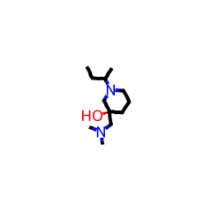 CCC(C)N1CCC[C@](O)(CN(C)C)C1